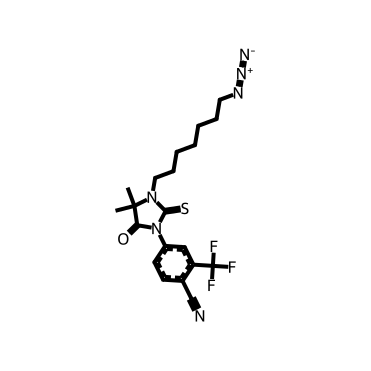 CC1(C)C(=O)N(c2ccc(C#N)c(C(F)(F)F)c2)C(=S)N1CCCCCCCN=[N+]=[N-]